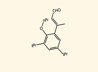 CCCOc1c(C(C)=CC=O)cc(C(C)C)cc1C(C)C